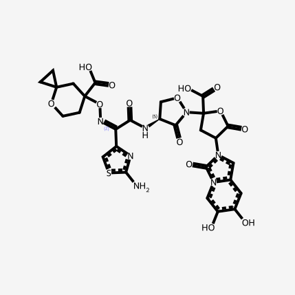 Nc1nc(/C(=N/OC2(C(=O)O)CCOC3(CC3)C2)C(=O)N[C@H]2CON(C3(C(=O)O)CC(n4cc5cc(O)c(O)cn5c4=O)C(=O)O3)C2=O)cs1